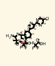 CC1(C)C(N)=N[C@](C)(c2cc(-c3cc(-c4ncc(Cl)cn4)no3)ccc2F)C(OC(=O)C(F)(F)F)[S@]1(=N)=O.O=C(O)C(F)(F)F